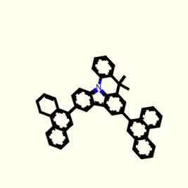 CC1(C)c2ccccc2-n2c3ccc(-c4cc5ccccc5c5c4C=CCC5)cc3c3cc(-c4cc5ccccc5c5ccccc45)cc1c32